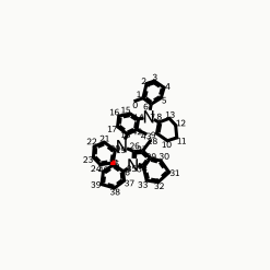 Cc1ccccc1N(C1=CCCCC1)c1cccc(N(c2ccccc2)c2c(C)c3ccccc3n2-c2ccccc2)c1C